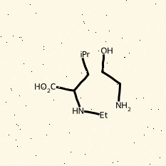 CCNC(CC(C)C)C(=O)O.NCCO